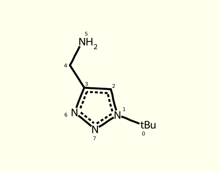 CC(C)(C)n1cc(CN)nn1